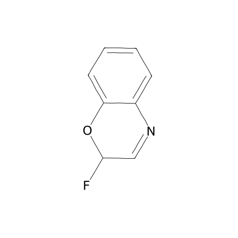 FC1C=Nc2ccccc2O1